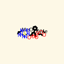 COc1cccc(OC)c1-c1cc(C(=O)Nc2nnc(-n3nccc3N)s2)oc(=O)c1OCC1COCCO1